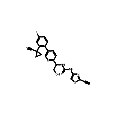 C#Cc1nc(NC(=O)NC(CO)c2ccc(-c3ccc(F)cc3C3(C#N)CC3)cn2)cs1